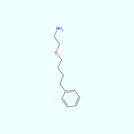 NCCOCCCCc1ccccc1